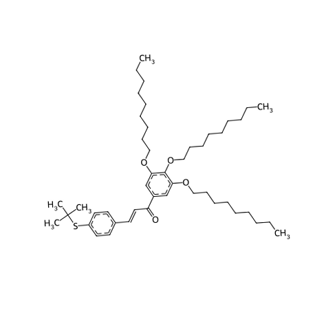 CCCCCCCCCOc1cc(C(=O)C=Cc2ccc(SC(C)(C)C)cc2)cc(OCCCCCCCCC)c1OCCCCCCCCC